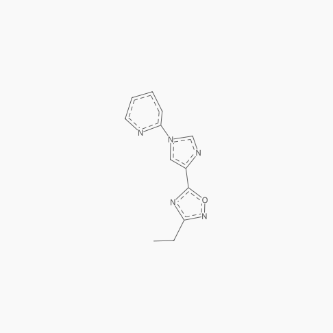 CCc1noc(-c2cn(-c3ccccn3)cn2)n1